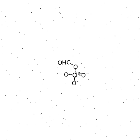 O=CO[Cl+3]([O-])([O-])[O-]